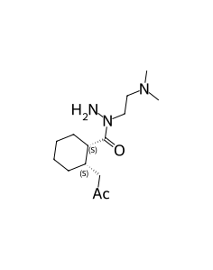 CC(=O)C[C@@H]1CCCC[C@@H]1C(=O)N(N)CCN(C)C